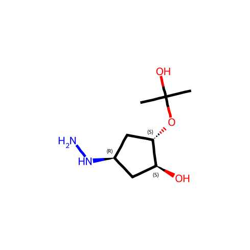 CC(C)(O)O[C@H]1C[C@H](NN)C[C@@H]1O